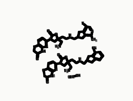 Cc1ncc(F)c2c1CC(CNCCC1(CN)CN(c3ccc4c(n3)NC(=O)CO4)C(=O)O1)C2.N#Cc1cccc2c1CC(CNCCC1(CN)CN(c3ccc4c(n3)NC(=O)CO4)C(=O)O1)C2.O=CO